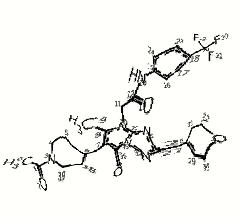 CC(=O)N1CCC(c2c(C)n(CC(=O)Nc3ccc(C(F)(F)F)cc3)c3nc(C4=CCOCC4)nn3c2=O)CC1